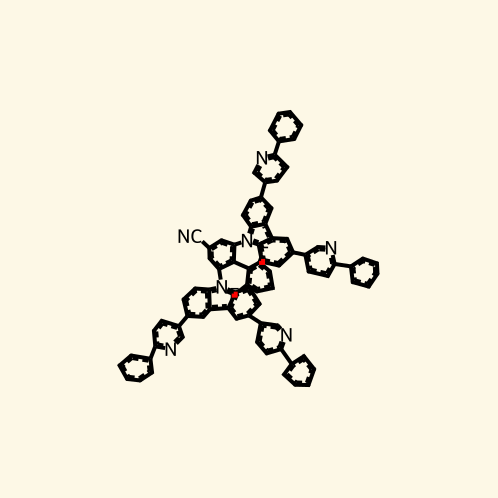 N#Cc1cc(-n2c3ccc(-c4ccc(-c5ccccc5)nc4)cc3c3cc(-c4ccc(-c5ccccc5)nc4)ccc32)c(-c2c(F)cccc2F)c(-n2c3ccc(-c4ccc(-c5ccccc5)nc4)cc3c3cc(-c4ccc(-c5ccccc5)nc4)ccc32)c1